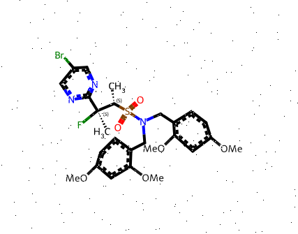 COc1ccc(CN(Cc2ccc(OC)cc2OC)S(=O)(=O)[C@@H](C)[C@@](C)(F)c2ncc(Br)cn2)c(OC)c1